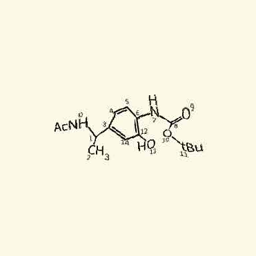 CC(=O)NC(C)c1ccc(NC(=O)OC(C)(C)C)c(O)c1